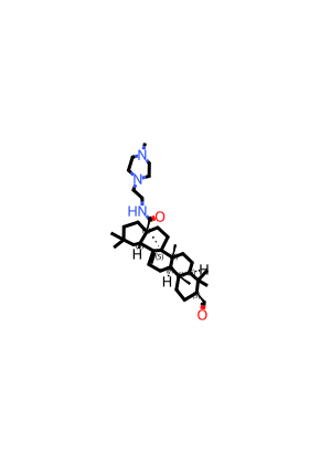 CN1CCN(CCNC(=O)[C@]23CCC(C)(C)C[C@H]2C2=CC[C@@H]4[C@@]5(C)CC[C@H](C=O)C(C)(C)[C@@H]5CC[C@@]4(C)[C@]2(C)CC3)CC1